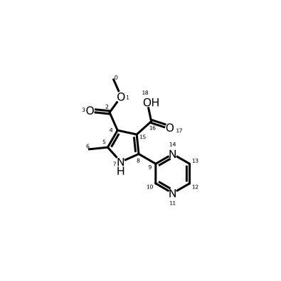 COC(=O)c1c(C)[nH]c(-c2cnccn2)c1C(=O)O